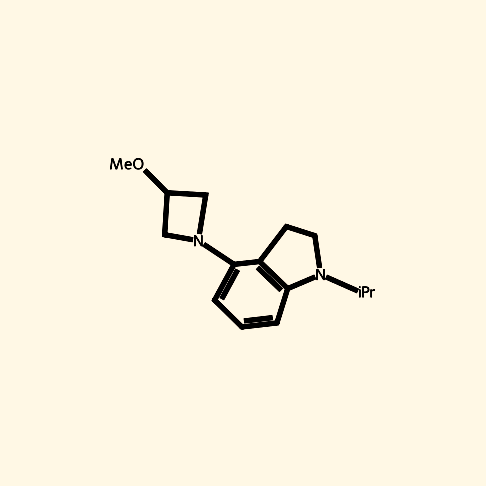 COC1CN(c2cccc3c2CCN3C(C)C)C1